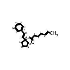 CC=CCCCC(=O)OC1(C=Cc2ccccc2)CCCC1